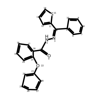 O=C(NN=C(c1ccccc1)c1cccs1)c1ccccc1Oc1ccccc1